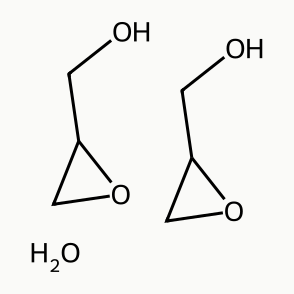 O.OCC1CO1.OCC1CO1